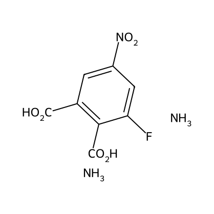 N.N.O=C(O)c1cc([N+](=O)[O-])cc(F)c1C(=O)O